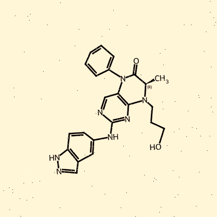 C[C@@H]1C(=O)N(c2ccccc2)c2cnc(Nc3ccc4[nH]ncc4c3)nc2N1CCCO